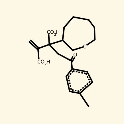 C=C(C(=O)O)C(CC(=O)c1ccc(C)cc1)(C(=O)O)C1CCCCCCC1